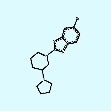 Brc1ccc2nc(N3CCC[C@H](N4CCCC4)C3)sc2c1